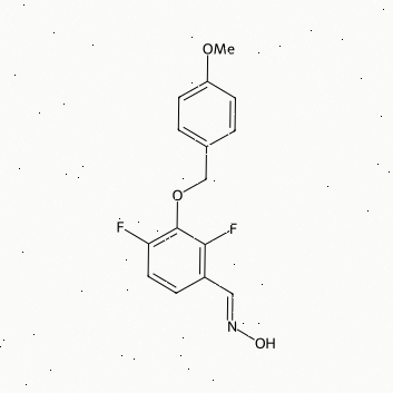 COc1ccc(COc2c(F)ccc(C=NO)c2F)cc1